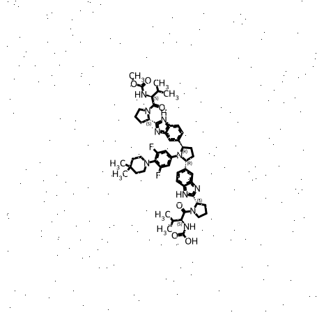 COC(=O)N[C@H](C(=O)N1CCC[C@H]1c1nc2cc([C@H]3CC[C@H](c4ccc5[nH]c([C@@H]6CCCN6C(=O)[C@@H](NC(=O)O)C(C)C)nc5c4)N3c3cc(F)c(N4CCC(C)(C)CC4)c(F)c3)ccc2[nH]1)C(C)C